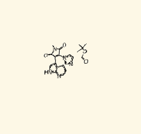 CC(C)(C)OC=O.CN1C(=O)C(c2c[nH]c3ncccc23)=C(n2ccnc2)C1=O